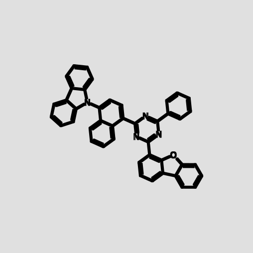 c1ccc(-c2nc(-c3ccc(-n4c5ccccc5c5ccccc54)c4ccccc34)nc(-c3cccc4c3oc3ccccc34)n2)cc1